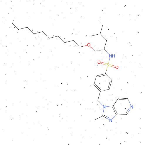 CCCCCCCCCCOC[C@H](CC(C)C)NS(=O)(=O)c1ccc(Cn2c(C)nc3cnccc32)cc1